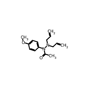 C=CCN(CC=C)N(C(C)=O)c1ccc(OC)cc1